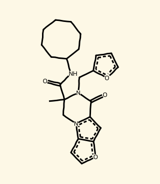 CC1(C(=O)NC2CCCCCCC2)Cn2c(cc3occc32)C(=O)N1Cc1ccco1